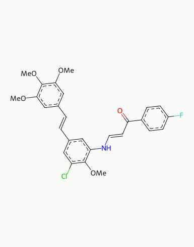 COc1cc(C=Cc2cc(Cl)c(OC)c(NC=CC(=O)c3ccc(F)cc3)c2)cc(OC)c1OC